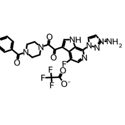 N[n+]1ccn(-c2ncc(F)c3c(C(=O)C(=O)N4CCN(C(=O)c5ccccc5)CC4)c[nH]c23)n1.O=C([O-])C(F)(F)F